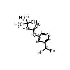 CC(C)(C)NC(=O)Oc1cncc(C(F)F)c1